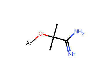 CC(=O)OC(C)(C)C(=N)N